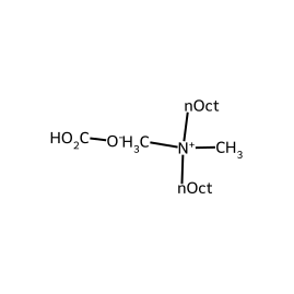 CCCCCCCC[N+](C)(C)CCCCCCCC.O=C([O-])O